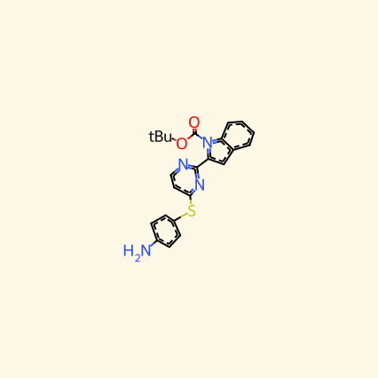 CC(C)(C)OC(=O)n1c(-c2nccc(Sc3ccc(N)cc3)n2)cc2ccccc21